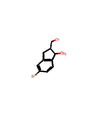 OCC1Cc2cc(Br)ccc2C1O